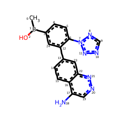 CB(O)c1ccc(-n2ncnn2)c(-c2ccc3c(N)cnnc3c2)c1